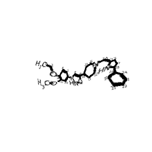 CCOc1ccc(N2C=C(C3CCN(CC4CCC(c5ccccc5)N4)CC3)ON2)cc1OC